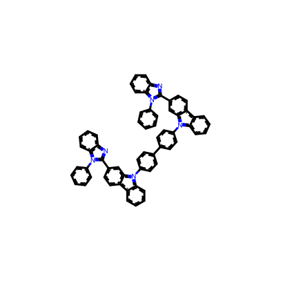 c1ccc(-n2c(-c3ccc4c5ccccc5n(-c5ccc(-c6ccc(-n7c8ccccc8c8ccc(-c9nc%10ccccc%10n9-c9ccccc9)cc87)cc6)cc5)c4c3)nc3ccccc32)cc1